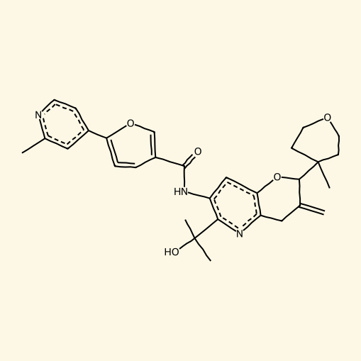 C=C1Cc2nc(C(C)(C)O)c(NC(=O)C3=COC(c4ccnc(C)c4)=C=C3)cc2OC1C1(C)CCOCC1